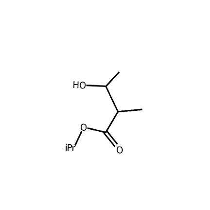 CC(C)OC(=O)C(C)C(C)O